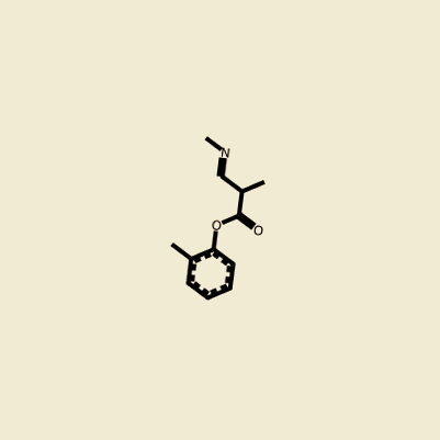 CN=CC(C)C(=O)Oc1ccccc1C